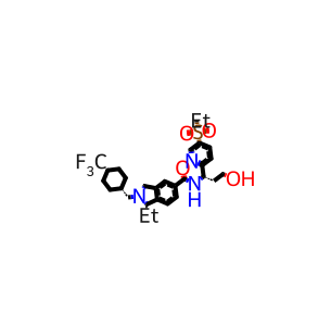 CC[C@H]1c2ccc(C(=O)N[C@@H](CCO)c3ccc(S(=O)(=O)CC)cn3)cc2CN1C[C@H]1CC[C@H](C(F)(F)F)CC1